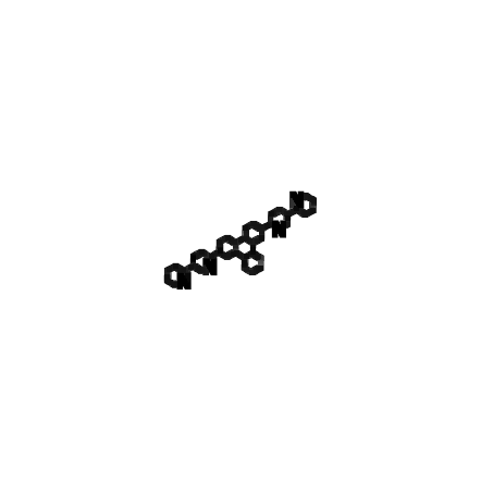 c1ccc(-c2ccc(-c3ccc4c5ccc(-c6ccc(-c7ccccn7)cn6)cc5c5ccccc5c4c3)nc2)nc1